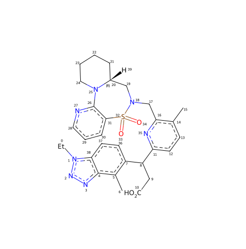 CCn1nnc2c(C)c(C(CC(=O)O)c3ccc(C)c(CN4C[C@H]5CCCCN5c5ncccc5S4(=O)=O)n3)ccc21